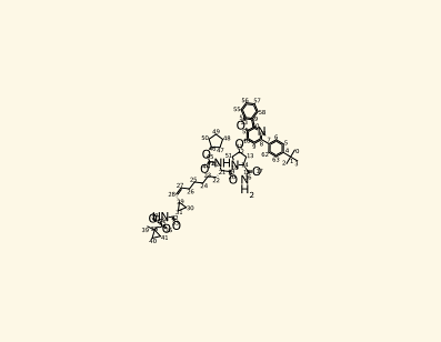 CC(C)(C)c1ccc(-c2cc(O[C@@H]3C[C@@H](C(N)=O)N(C(=O)[C@H](CCCCC/C=C\[C@@H]4C[C@@H]4C(=O)NS(=O)(=O)C4(C)CC4)NC(=O)OC4CCCC4)C3)c3oc4ccccc4c3n2)cc1